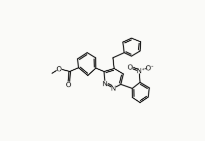 COC(=O)c1cccc(-c2nnc(-c3ccccc3[N+](=O)[O-])cc2Cc2ccccc2)c1